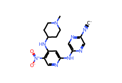 [C-]#[N+]c1cnc(Nc2cc(NC3CCN(C)CC3)c([N+](=O)[O-])cn2)cn1